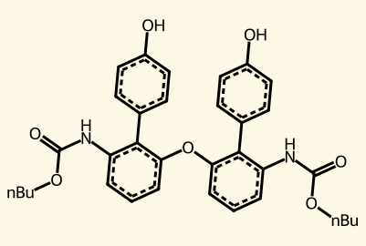 CCCCOC(=O)Nc1cccc(Oc2cccc(NC(=O)OCCCC)c2-c2ccc(O)cc2)c1-c1ccc(O)cc1